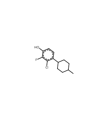 CC1CCC(c2ccc(O)c(F)c2Cl)CC1